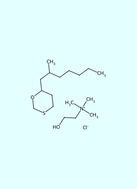 CCCCCC(C)CC1CCSCO1.C[N+](C)(C)CCO.[Cl-]